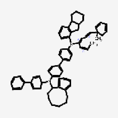 C\C=C/C(=C\C=C\C1(C)C=CC=CC1)N(c1ccc(-c2ccc(N(C3C=CC(c4ccccc4)=CC3)C3CCCCCCc4ccccc43)cc2)cc1)c1cccc2c1CC1CCCCC21